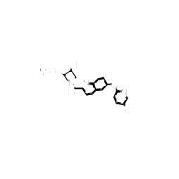 COC1CN(C(=O)c2ccc3cc(Oc4ccc(C(F)(F)F)cn4)ccc3n2)CC1O